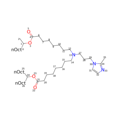 CCCCCCCCC(C)OC(=O)CCCCCCCN(CCCCCCCC(=O)OC(CCCCCCCC)CCCCCCCC)CCCn1ccnc1C